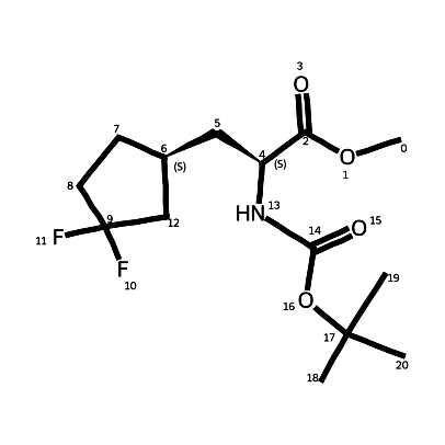 COC(=O)[C@H](C[C@@H]1CCC(F)(F)C1)NC(=O)OC(C)(C)C